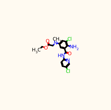 CCOC(=O)CN(C)c1cc(Cl)c(N)c(C(=O)Nc2ccc(Cl)cn2)c1